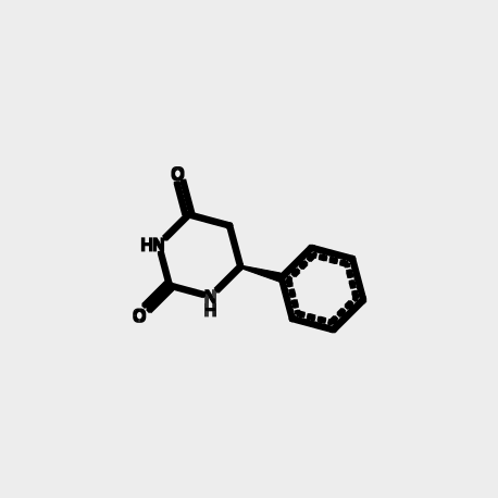 O=C1C[C@@H](c2ccccc2)NC(=O)N1